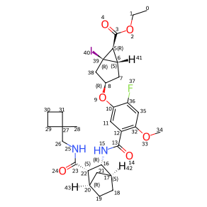 CCOC(=O)[C@H]1[C@@H]2C[C@@H](Oc3cc(C(=O)N[C@@H]4[C@H]5CC[C@H](C5)[C@@H]4C(=O)NCC4(C)CCC4)c(OC)cc3F)C[C@@]21I